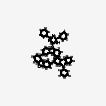 c1ccc(C2=NC(c3ccccc3)NC(n3c4ccccc4c4cc(-c5cccc6oc7ccc(-c8ccc9c%10ccccc%10n(-c%10ccccc%10)c9c8)cc7c56)ccc43)=N2)cc1